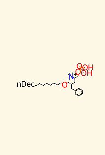 CCCCCCCCCCCCCCCCCCOCC(Cc1ccccc1)CC(COP(=O)(O)O)[N+](C)(C)C